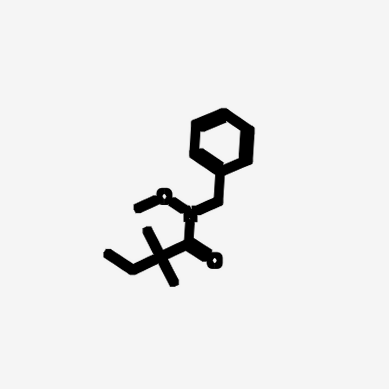 CCC(C)(C)C(=O)N(Cc1ccccc1)OC